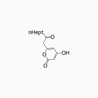 CCCCCCCC(=O)Cc1cc(O)cc(=O)o1